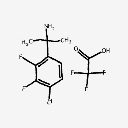 CC(C)(N)c1ccc(Cl)c(F)c1F.O=C(O)C(F)(F)F